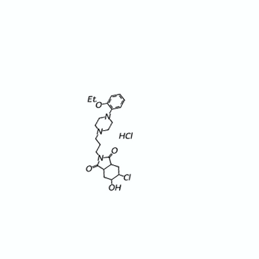 CCOc1ccccc1N1CCN(CCCN2C(=O)C3CC(O)C(Cl)CC3C2=O)CC1.Cl